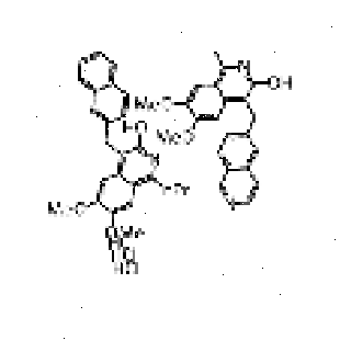 CCCc1nc(O)c(Cc2ccc3ccccc3c2)c2cc(OC)c(OC)cc12.COc1cc2c(C)nc(O)c(Cc3ccc4cnccc4c3)c2cc1OC.Cl.Cl.Cl